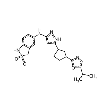 CC(C)c1cnc(C2CCC(c3cc(Nc4ccc5c(c4)CS(=O)(=O)N5)n[nH]3)C2)o1